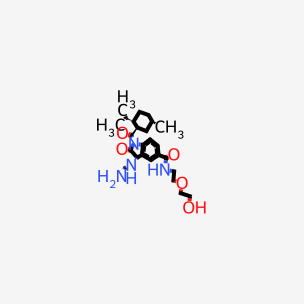 CC(C)[C@@H]1CC[C@@H](C)C[C@H]1C(=O)N1C(=O)C(NCN)c2cc(C(=O)NCCOCCO)ccc21